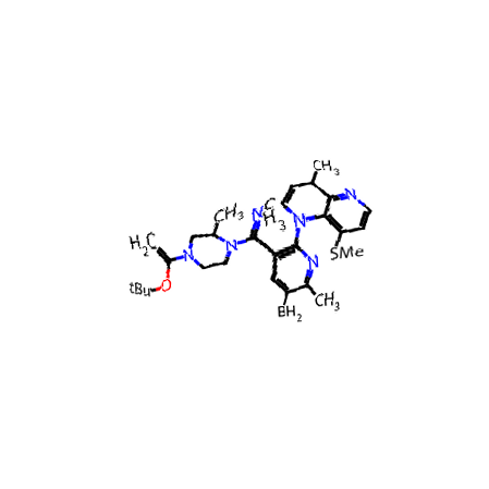 Bc1cc(/C(=N\C)N2CCN(C(=C)OC(C)(C)C)CC2C)c(N2C=CC(C)c3nccc(SC)c32)nc1C